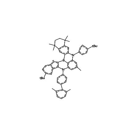 Cc1cc2c3c(c1)N(c1ccc(-c4c(C)cccc4C)cc1)c1c(sc4ccc(C(C)(C)C)cc14)B3c1cc3c(cc1N2c1ccc(C(C)(C)C)cc1)C(C)(C)CCC3(C)C